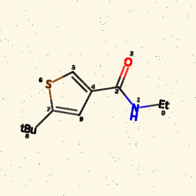 CCNC(=O)c1csc(C(C)(C)C)c1